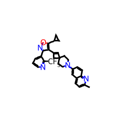 Cc1ccc2cc(N3CCC4(C=C(c5c(-c6cccnc6C(F)(F)F)noc5C5CC5)C4)CC3)ccc2n1